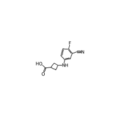 N#Cc1cc(NC2CC(C(=O)O)C2)ccc1F